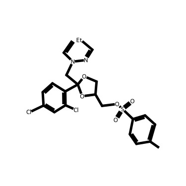 C=CN(CC1(c2ccc(Cl)cc2Cl)OCC(COS(=O)(=O)c2ccc(C)cc2)O1)/N=C\CC